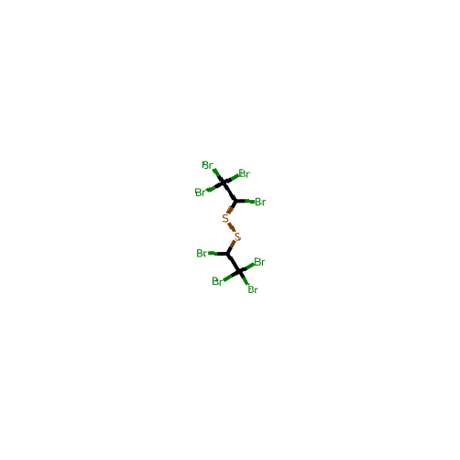 BrC(SSC(Br)C(Br)(Br)Br)C(Br)(Br)Br